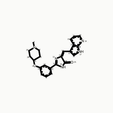 CN1CCC(Oc2cccc(C3=NC(=Cc4c[nH]c5ncccc45)C(=O)N3)c2)CC1